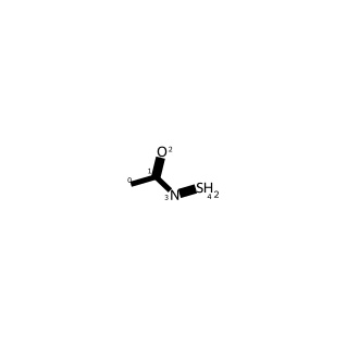 CC(=O)N=[SH2]